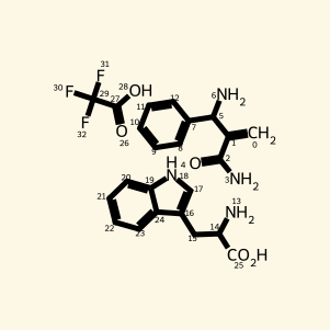 C=C(C(N)=O)C(N)c1ccccc1.NC(Cc1c[nH]c2ccccc12)C(=O)O.O=C(O)C(F)(F)F